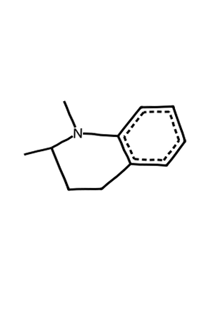 CC1CCc2ccccc2N1C